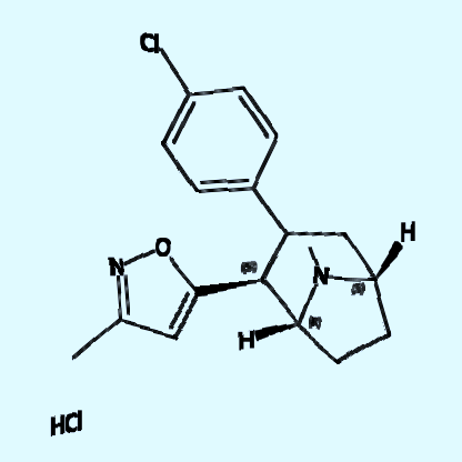 Cc1cc([C@H]2C(c3ccc(Cl)cc3)C[C@@H]3CC[C@H]2N3C)on1.Cl